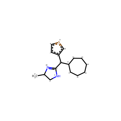 CC1CNC(C(c2ccsc2)C2CCCCCC2)=N1